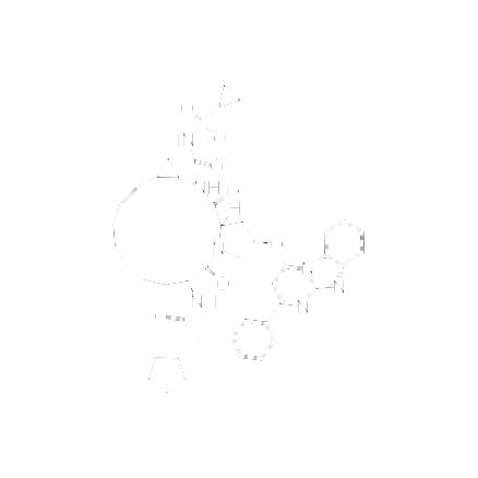 O=C(N[C@H]1CCCCC/C=C\C2C[C@@]2(C(=O)NS(=O)(=O)C2CC2)NC(=O)[C@@H]2C[C@@H](Oc3cc(-c4ccccc4)nc4nc5ccccc5n34)CN2C1=O)OC1CCCC1